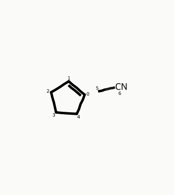 C1=CCCC1.CC#N